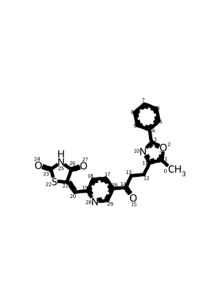 Cc1oc(-c2ccccc2)nc1CCC(=O)c1ccc(C=C2SC(=O)NC2=O)nc1